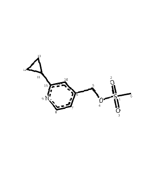 CS(=O)(=O)OCc1ccnc(C2CC2)c1